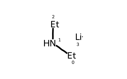 CCNCC.[Li]